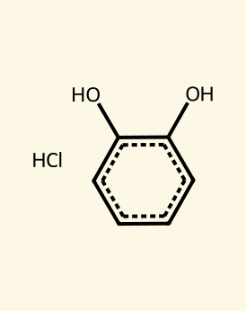 Cl.Oc1ccccc1O